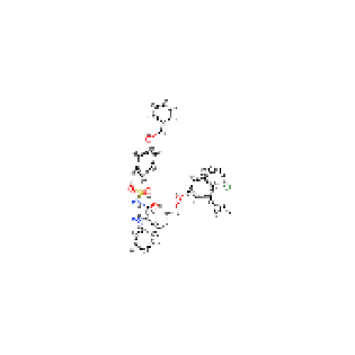 Cc1cc(OCCCc2c(C(=O)NS(=O)(=O)c3ccc(OCc4ccccc4)cc3)[nH]c3ccccc23)cc(C)c1Cl